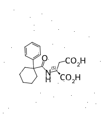 O=C(O)C[C@H](NC(=O)C1(c2ccccc2)CCCCC1)C(=O)O